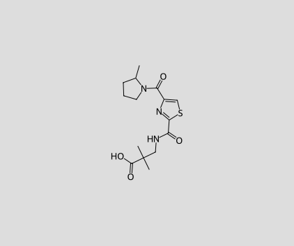 CC1CCCN1C(=O)c1csc(C(=O)NCC(C)(C)C(=O)O)n1